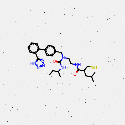 CCC(C)NC(=O)N(CCNC(=O)C(CS)CC(C)C)Cc1ccc(-c2ccccc2-c2nnn[nH]2)cc1